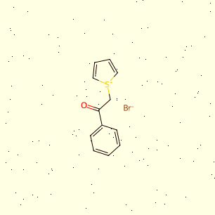 O=C(C[s+]1cccc1)c1ccccc1.[Br-]